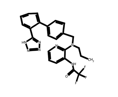 CCCN(Cc1ccc(-c2ccccc2-c2nnn[nH]2)cc1)c1ncccc1NC(=O)C(F)(F)F